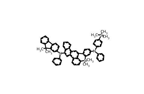 CC1(C)c2ccccc2-c2ccc(N(c3ccccc3)c3cc4c5cccc6c5c(cc4c4ccccc34)-c3ccc(N(c4ccccc4)c4ccc([Si](C)(C)C)cc4)cc3[Si]6(C)C)cc21